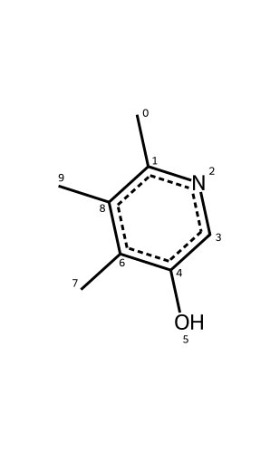 Cc1ncc(O)c(C)c1C